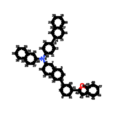 c1cc(-c2ccc3cc(N(c4ccc(-c5ccc6ccccc6c5)cc4)c4ccc5ccccc5c4)ccc3c2)cc(-c2cc3ccccc3o2)c1